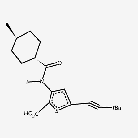 CC(C)(C)C#Cc1cc(N(I)C(=O)[C@H]2CC[C@H](C)CC2)c(C(=O)O)s1